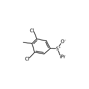 Cc1c(Cl)cc([S+]([O-])C(C)C)cc1Cl